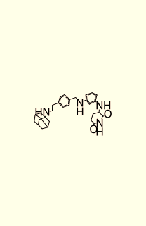 O=C1CCC(Nc2cccc(NCc3ccc(CCNC45CC6CC(CC(C6)C4)C5)cc3)c2)C(=O)N1